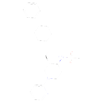 C[C@@H]1CN(c2ccccn2)C[C@@H](CO[C@H]2CC[C@@H](c3ccccc3)CC2)[C@H]1NS(C)(=O)=O